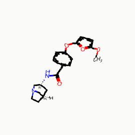 COc1ccc(Oc2ccc(C(=O)N[C@@H]3C[C@H]4CCN(C4)C3)cc2)o1